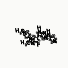 Cc1nc2c(F)cc(-c3c[nH]c4nc(Nc5ccncc5)ncc34)cc2n1C1CCN(C)CC1